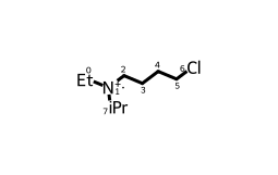 CC[N+](CCCCCl)C(C)C